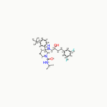 CC(C)NC(=O)N1CCCC(NCC(O)CCc2cc(F)cc(F)c2)(c2cccc(C(C)(C)C)c2)C1